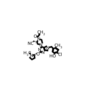 C=CC(=O)N1CCN(c2nc(OC[C@@H]3CCCN3C)nc3c2CN(Cc2cc(O)c(Cl)cc2C)C3)C[C@@H]1CC#N